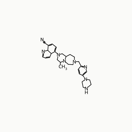 CC1CN(C2=CC=C(C#N)C3N=CC=CC23)CC2CCN(Cc3ccc(N4CCNCC4)cn3)CCN12